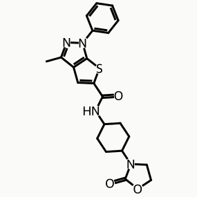 Cc1nn(-c2ccccc2)c2sc(C(=O)NC3CCC(N4CCOC4=O)CC3)cc12